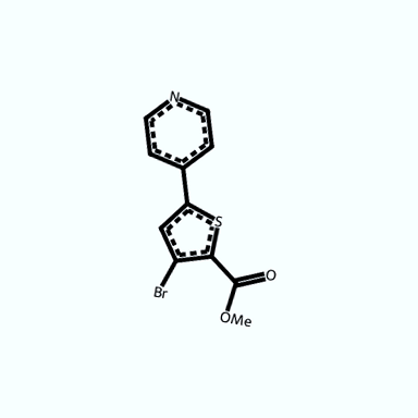 COC(=O)c1sc(-c2ccncc2)cc1Br